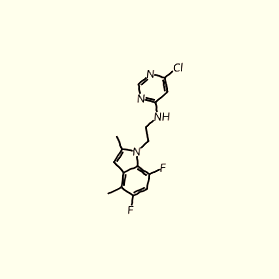 Cc1c(F)cc(F)c2c1cc(C)n2CCNc1cc(Cl)ncn1